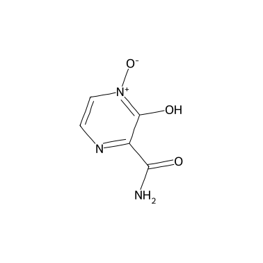 NC(=O)c1ncc[n+]([O-])c1O